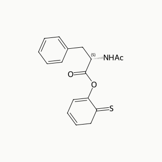 CC(=O)N[C@@H](Cc1ccccc1)C(=O)OC1=CC=CCC1=S